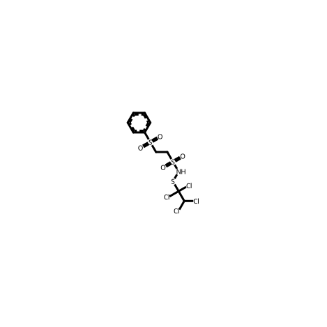 O=S(=O)(CCS(=O)(=O)c1ccccc1)NSC(Cl)(Cl)C(Cl)Cl